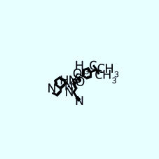 CC(C)(C)c1ccc(S(=O)(=O)Nc2cc(C#N)nn2-c2cccc3ncccc23)cc1